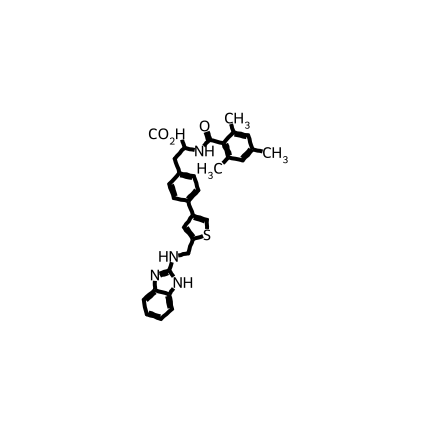 Cc1cc(C)c(C(=O)NC(Cc2ccc(-c3csc(CNc4nc5ccccc5[nH]4)c3)cc2)C(=O)O)c(C)c1